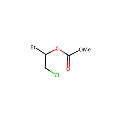 CCC(CCl)OC(=O)OC